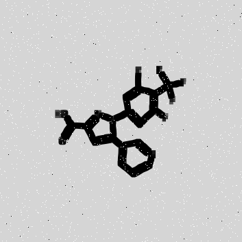 O=C(O)c1cc(-c2cccnc2)n(-c2cc(F)c(C(F)(F)F)c(F)c2)n1